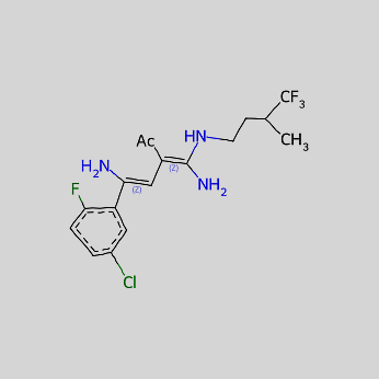 CC(=O)C(/C=C(\N)c1cc(Cl)ccc1F)=C(/N)NCCC(C)C(F)(F)F